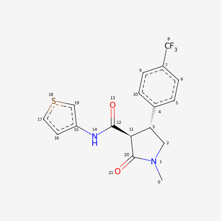 CN1C[C@@H](c2ccc(C(F)(F)F)cc2)[C@H](C(=O)Nc2ccsc2)C1=O